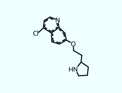 Clc1ccnc2cc(OCCC3CCCN3)ccc12